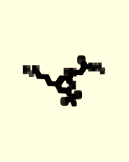 CS(=O)(=O)c1cc(CCCN)cc(NCC(N)=O)n1